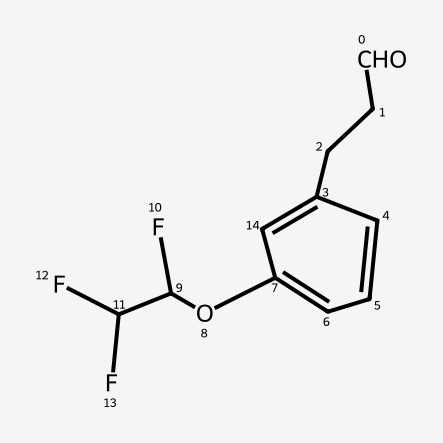 O=CCCc1cccc(OC(F)C(F)F)c1